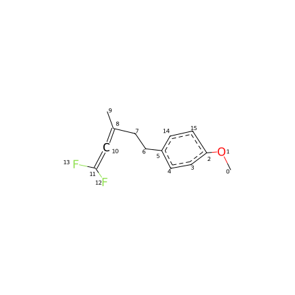 COc1ccc(CCC(C)=C=C(F)F)cc1